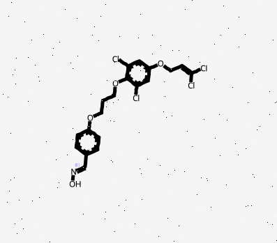 O/N=C/c1ccc(OCCCOc2c(Cl)cc(OCC=C(Cl)Cl)cc2Cl)cc1